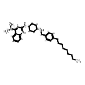 CCCCCCCCCc1ccc(CN[C@H]2CC[C@@H](Nc3nc(N(C)C)c4ccccc4n3)CC2)cc1